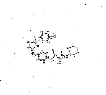 O=C(NOC1CCCCO1)/C(F)=C/c1ccc(N[C@@H]2CCN(Cc3ccc(Cl)cc3)C2)nc1